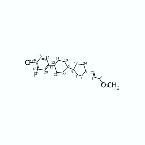 COC/C=C/C1CCC(C2CCC(c3ccc(Cl)c(F)c3)CC2)CC1